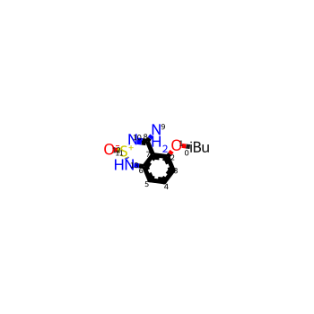 CCC(C)Oc1cccc2c1C(N)=N[S+]([O-])N2